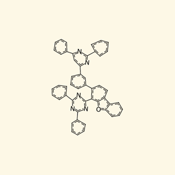 c1ccc(-c2cc(-c3cccc(-c4ccc5c(oc6ccccc65)c4-c4nc(-c5ccccc5)nc(-c5ccccc5)n4)c3)nc(-c3ccccc3)n2)cc1